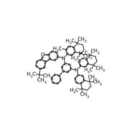 Cc1cc2c(cc1N(c1cc(-c3ccccc3)cc(N(c3ccc4c(c3)C(C)(C)CCC4(C)C)c3ccc4c(c3)C(C)(C)CCC4(C)C)c1)c1ccc3oc4ccc(C(C)(C)C)cc4c3c1)C(C)(C)CCC2(C)C